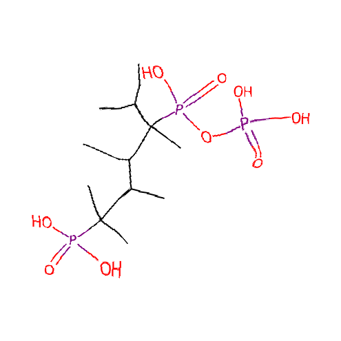 CC(C(C)C(C)(C(C)C)P(=O)(O)OP(=O)(O)O)C(C)(C)P(=O)(O)O